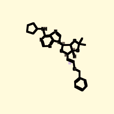 CC1(C)OC2[C@H](n3cnc4c(NC5CCCC5)ncnc43)O[C@H](/C=C/OCc3ccccc3)[C@H]2O1